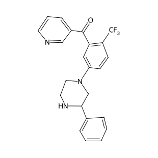 O=C(c1cccnc1)c1cc(N2CCNC(c3ccccc3)C2)ccc1C(F)(F)F